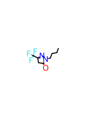 CCCCN1N=C(C(F)(F)F)CC1=O